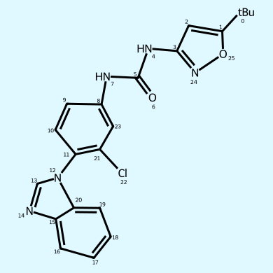 CC(C)(C)c1cc(NC(=O)Nc2ccc(-n3cnc4ccccc43)c(Cl)c2)no1